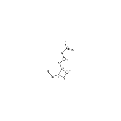 C=C(C)COCC1OCC1CC